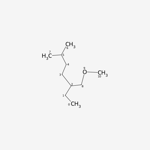 CCC(CCC(C)C)COC